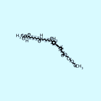 COCCOCCOCCOC(=O)/C=C/c1ccc(C#Cc2ccc(N(C)CCCCCNC(=O)CCCCCCC(=O)NOC(C)=O)cc2)s1